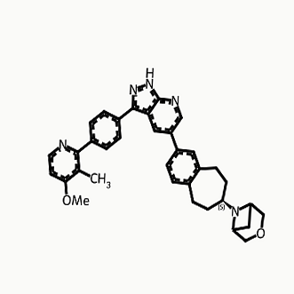 COc1ccnc(-c2ccc(-c3n[nH]c4ncc(-c5ccc6c(c5)CC[C@@H](N5C7COCC5C7)CC6)cc34)cc2)c1C